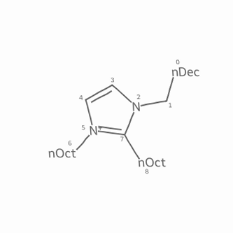 CCCCCCCCCCCn1cc[n+](CCCCCCCC)c1CCCCCCCC